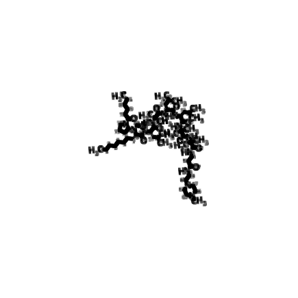 CCCCCCCC[C@@H](C(=O)N[C@@H](CC(C)C)C(=O)NC(C)(C)C(=O)N[C@@H](CC(C)C)C(=O)N[C@@H](CC(C)C)C(=O)NC(C)(C)C(=O)NC(C)(C)C(=O)NCCC(=O)NCCN1CCN(C)CC1)N(C=O)[C@@H]1CCCN1C(=O)CCCCC